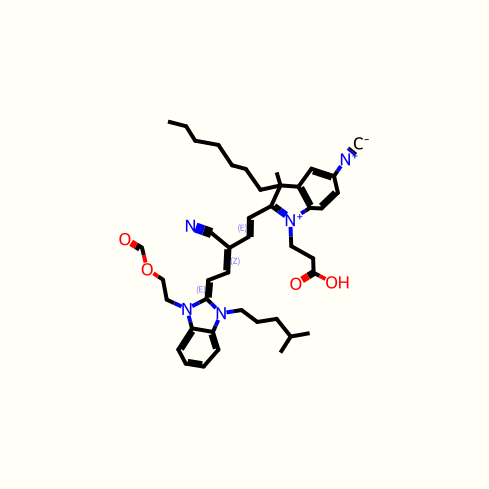 [C-]#[N+]c1ccc2c(c1)C(C)(CCCCCCC)C(/C=C/C(C#N)=C/C=C1\N(CCCC(C)C)c3ccccc3N1CCOC=O)=[N+]2CCC(=O)O